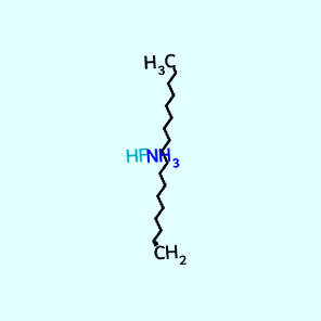 C=CCCCCCCCCCCCCCCCC.F.N